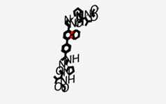 COC(=O)N[C@H](C(=O)N1CCC[C@H]1c1ncc(-c2ccc(-c3ccc(-c4cnc([C@@H]5CCCN5C(=O)[C@H](NC(=O)OC)C(C)C)[nH]4)c4c3C3CCC4CC3)cc2)[nH]1)C(C)C